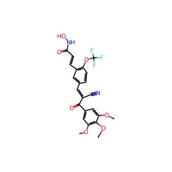 COc1cc(C(=O)C(C#N)=Cc2ccc(OC(F)(F)F)c(/C=C/C(=O)NO)c2)cc(OC)c1OC